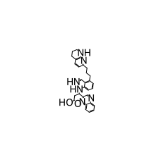 N=Cc1c(CCCc2ccc3c(n2)NCCC3)cccc1NC(CC(=O)O)c1cnc2ccccc2n1